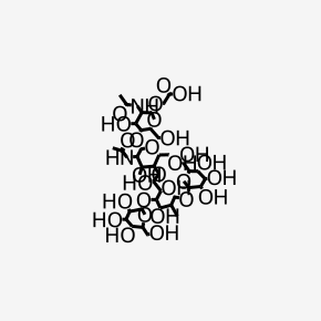 CC(=O)NC1C(OC2C(CO)OC(OCC(=O)O)C(NC(C)=O)C2O)OC(CO)C(OC(O)C(O)C(OC2OC(CO)C(O)C(O)C2O)C(O)C(C)COC2OC(CO)C(O)C(O)C2O)C1O